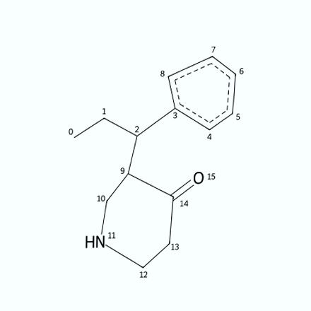 CCC(c1ccccc1)C1CNCCC1=O